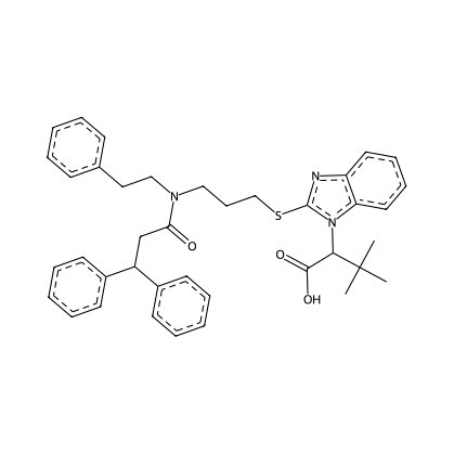 CC(C)(C)C(C(=O)O)n1c(SCCCN(CCc2ccccc2)C(=O)CC(c2ccccc2)c2ccccc2)nc2ccccc21